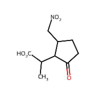 CC(C(=O)O)C1C(=O)CCC1C[N+](=O)[O-]